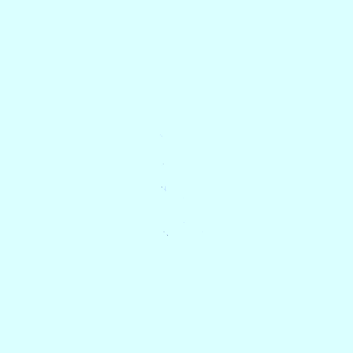 O=C1NCCN(C23CC(F)(C2)C3)C1=O